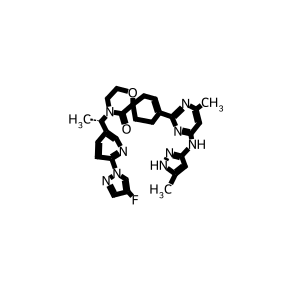 Cc1cc(Nc2cc(C)[nH]n2)nc(C2=CCC3(CC2)OCCN([C@@H](C)c2ccc(-n4cc(F)cn4)nc2)C3=O)n1